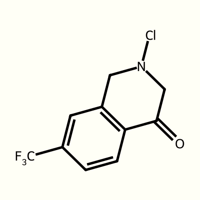 O=C1CN(Cl)Cc2cc(C(F)(F)F)ccc21